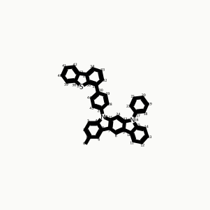 Cc1ccc2c(c1)c1cc3c4ccccc4n(-c4ccccc4)c3cc1n2-c1ccc(-c2cccc3c2sc2ccccc23)cc1